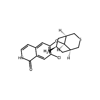 N[C@H]1C[C@H]2CSC[C@@H](C1)[C@H]2Oc1cc2cc[nH]c(=O)c2cc1Cl